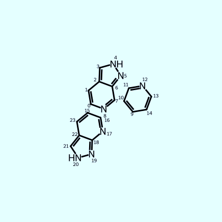 c1cc2c[nH]nc2cn1.c1ccncc1.c1cnc2n[nH]cc2c1